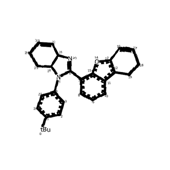 CC(C)(C)c1ccc(N2C(c3cccc4c5c(oc34)C=CCC5)=NC3C=CCCC32)cc1